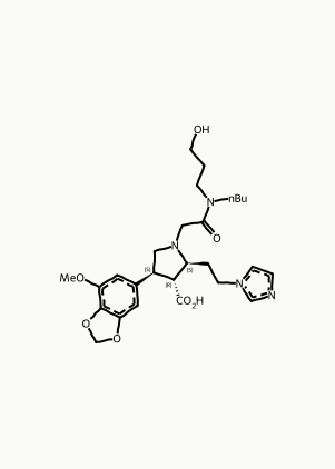 CCCCN(CCCO)C(=O)CN1C[C@H](c2cc(OC)c3c(c2)OCO3)[C@@H](C(=O)O)[C@@H]1CCn1ccnc1